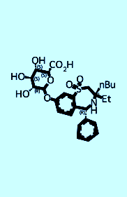 CCCC[C@]1(CC)CS(=O)(=O)c2cc(OC3O[C@H](C(=O)O)[C@@H](O)[C@H](O)[C@H]3O)ccc2[C@@H](c2ccccc2)N1